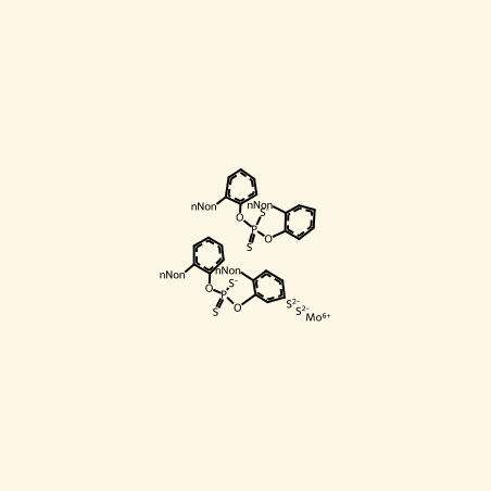 CCCCCCCCCc1ccccc1OP(=S)([S-])Oc1ccccc1CCCCCCCCC.CCCCCCCCCc1ccccc1OP(=S)([S-])Oc1ccccc1CCCCCCCCC.[Mo+6].[S-2].[S-2]